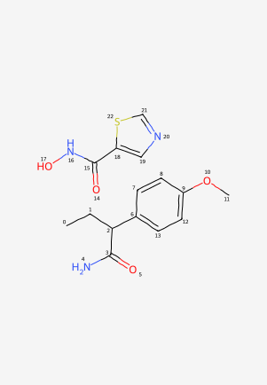 CCC(C(N)=O)c1ccc(OC)cc1.O=C(NO)c1cncs1